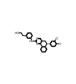 OCCc1cccc(Nc2ncc3c(n2)-c2ccccc2[C@H](c2ccc(Cl)c(Cl)c2)C3)c1